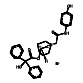 O=C(C[N+]12CCC(CC1)[C@@H](OC(=O)C(O)(c1ccccc1)c1ccccc1)C2)Nc1ccc(O)cc1.[Br-]